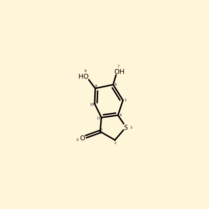 O=C1CSc2cc(O)c(O)cc21